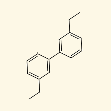 CCc1cc[c]c(-c2[c]ccc(CC)c2)c1